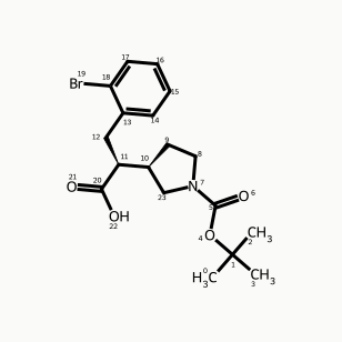 CC(C)(C)OC(=O)N1CC[C@H]([C@H](Cc2ccccc2Br)C(=O)O)C1